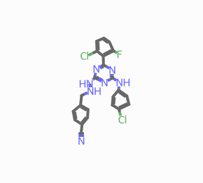 N#Cc1ccc(CNNc2nc(Nc3ccc(Cl)cc3)nc(-c3c(F)cccc3Cl)n2)cc1